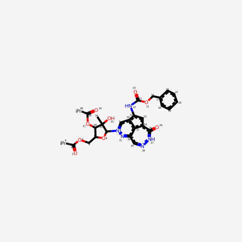 CC(C)C(=O)OCC1OC(n2cc3c(NC(=O)OCc4ccccc4)cc4c(=O)[nH]ncc(n2)c34)C(C)(O)C1OC(=O)C(C)C